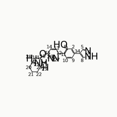 Oc1cc(-c2cn[nH]c2)ccc1-c1ccc(OC2C[C@H]3CCC[C@@H](C2)N3)nn1